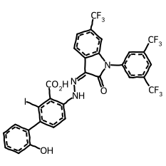 O=C(O)c1c(NN=C2C(=O)N(c3cc(C(F)(F)F)cc(C(F)(F)F)c3)c3cc(C(F)(F)F)ccc32)ccc(-c2ccccc2O)c1I